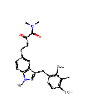 CCCn1cc(Cc2ccc(C(=O)O)c(C)c2OC)c2cc(CCC(=O)C(=O)N(C)C)ccc21